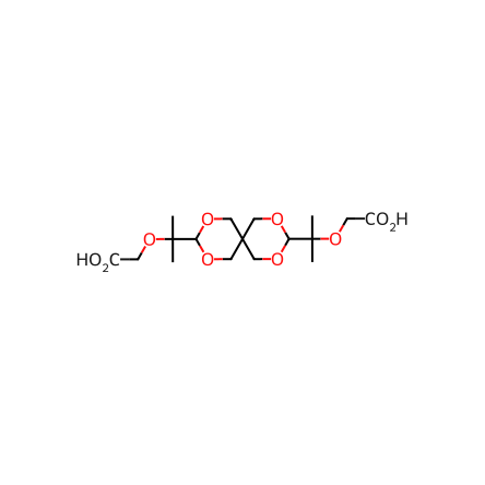 CC(C)(OCC(=O)O)C1OCC2(CO1)COC(C(C)(C)OCC(=O)O)OC2